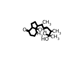 CC(C=CC(C)C(C)(C)O)C1CCC2C(=O)CCCC21C